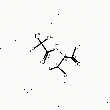 CC(=O)[C@@H](NC(=O)C(F)(F)F)C(C)C